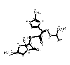 CC(C)C(O/N=C(\C(=O)NC1C(=O)N2CC(C(=O)O)S[C@H]12)c1csc(N)n1)C(=O)O